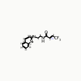 O=C(/C=C/C(F)(F)F)NCCNc1ccc2ccccc2n1